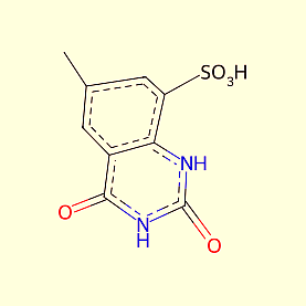 Cc1cc(S(=O)(=O)O)c2[nH]c(=O)[nH]c(=O)c2c1